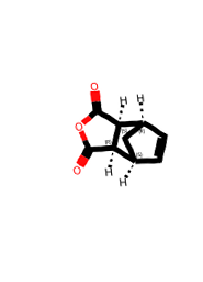 O=C1OC(=O)[C@H]2[C@@H]1[C@H]1C=C[C@@H]2C1